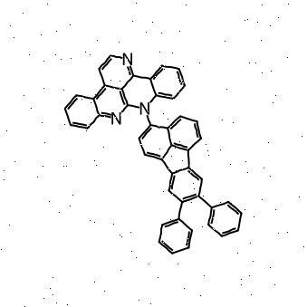 c1ccc(-c2cc3c(cc2-c2ccccc2)-c2ccc(N4c5ccccc5-c5nccc6c5c4nc4ccccc46)c4cccc-3c24)cc1